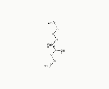 CCCCCCCCCCCCC(O)CCS(=O)(=O)O.[MgH2]